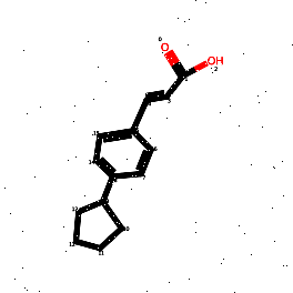 O=C(O)C=Cc1ccc(C2CCCC2)cc1